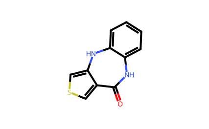 O=C1Nc2ccccc2Nc2cscc21